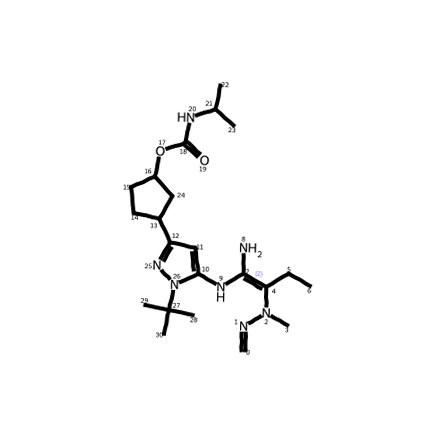 C=NN(C)/C(CC)=C(/N)Nc1cc(C2CCC(OC(=O)NC(C)C)C2)nn1C(C)(C)C